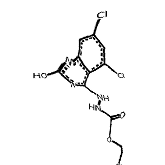 CCOC(=O)NNc1nc(O)nc2cc(Cl)cc(Cl)c12